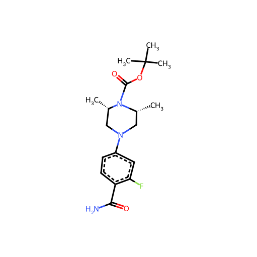 C[C@@H]1CN(c2ccc(C(N)=O)c(F)c2)C[C@H](C)N1C(=O)OC(C)(C)C